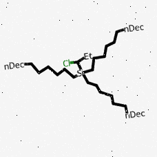 CCCCCCCCCCCCCCCC[Si](CCCCCCCCCCCCCCCC)(CCCCCCCCCCCCCCCC)C(Cl)CC